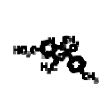 C=Cc1nc(C(=O)O)cnc1N(C)S(=O)(=O)c1ccc(C)cc1